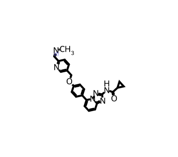 C/N=C\c1ccc(COc2ccc(-c3cccc4nc(NC(=O)C5CC5)nn34)cc2)cn1